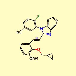 COc1cccc(/C=C/c2nc3ccccc3n2-c2cc(C#N)ccc2F)c1OCC1CC1